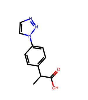 CC(C(=O)O)c1ccc(-n2ccnn2)cc1